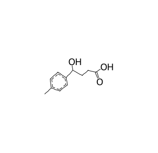 Cc1ccc(C(O)CCC(=O)O)cc1